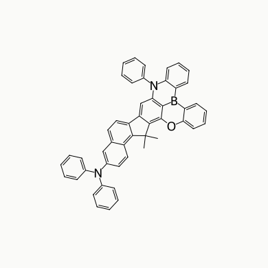 CC1(C)c2c(cc3c4c2Oc2ccccc2B4c2ccccc2N3c2ccccc2)-c2ccc3cc(N(c4ccccc4)c4ccccc4)ccc3c21